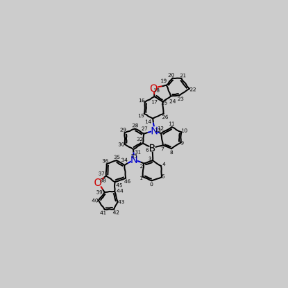 C1=CC2=C(CC1)B1c3ccccc3N(C3C=Cc4oc5ccccc5c4C3)c3cccc(c31)N2c1ccc2oc3ccccc3c2c1